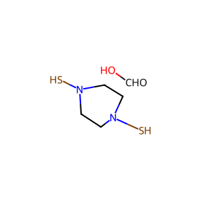 O=CO.SN1CCN(S)CC1